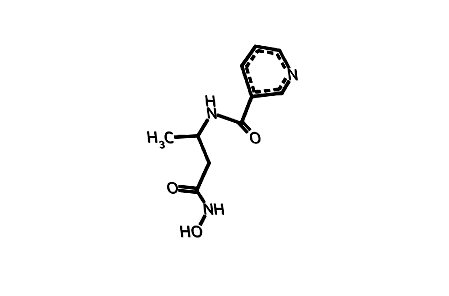 CC(CC(=O)NO)NC(=O)c1cccnc1